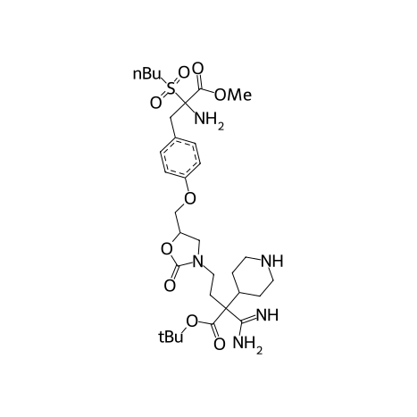 CCCCS(=O)(=O)C(N)(Cc1ccc(OCC2CN(CCC(C(=N)N)(C(=O)OC(C)(C)C)C3CCNCC3)C(=O)O2)cc1)C(=O)OC